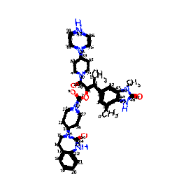 Cc1cc(C(C)C(OC(=O)N2CCC(N3CCc4ccccc4NC3=O)CC2)C(=O)N2CCC(N3CCNCC3)CC2)cc2c1[nH]c(=O)n2C